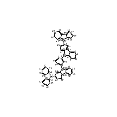 c1cc(-n2c3ccccc3c3cc(-n4c5ccccc5c5ccccc54)ccc32)cc(-n2c3ccccc3c3ccc(-n4c5ccccc5c5ccccc54)cc32)c1